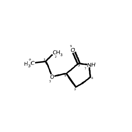 CC(C)OC1CCNC1=O